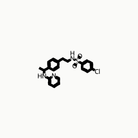 CC(Nc1ccccn1)c1ccc(CCNS(=O)(=O)c2ccc(Cl)cc2)cc1